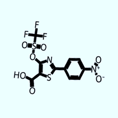 O=C(O)c1sc(-c2ccc([N+](=O)[O-])cc2)nc1OS(=O)(=O)C(F)(F)F